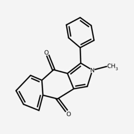 Cn1cc2c(c1-c1ccccc1)C(=O)c1ccccc1C2=O